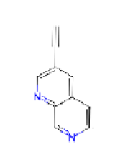 C#Cc1cnc2cn[c]cc2c1